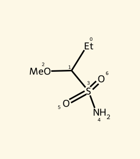 CCC(OC)S(N)(=O)=O